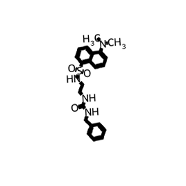 CN(C)c1cccc2c(S(=O)(=O)NCCNC(=O)NCc3ccccc3)cccc12